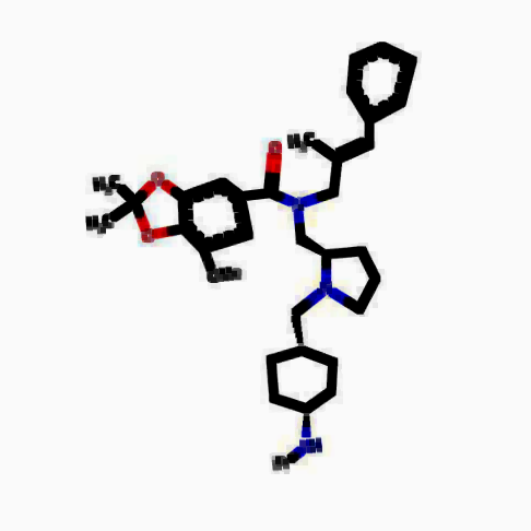 COc1cc(C(=O)N(C/C(C)=C/c2ccccc2)C[C@H]2CCCN2C[C@H]2CC[C@@H](NC(C)C)CC2)cc2c1OC(C)(C)O2